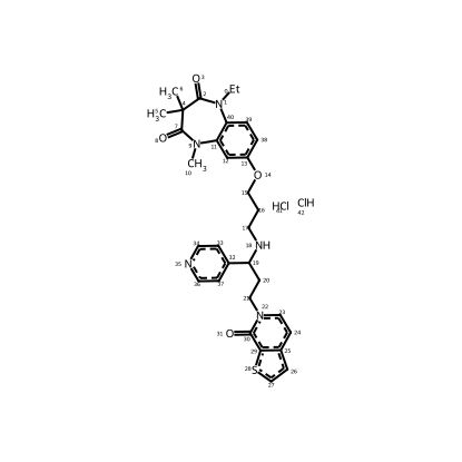 CCN1C(=O)C(C)(C)C(=O)N(C)c2cc(OCCCNC(CCn3ccc4ccsc4c3=O)c3ccncc3)ccc21.Cl.Cl